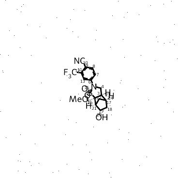 COC[C@@]12[C@@H](CN(c3ccc(C#N)c(C(F)(F)F)c3)S1(=O)=O)[C@H]1C[C@H](O)[C@@H]2C1